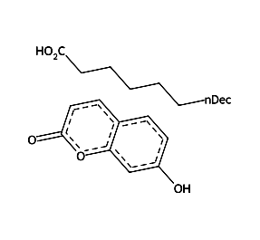 CCCCCCCCCCCCCCCC(=O)O.O=c1ccc2ccc(O)cc2o1